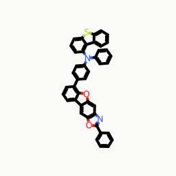 c1ccc(-c2nc3cc4oc5c(-c6ccc(N(c7ccccc7)c7cccc8sc9ccccc9c78)cc6)cccc5c4cc3o2)cc1